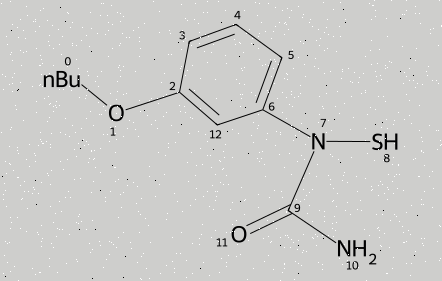 CCCCOc1cccc(N(S)C(N)=O)c1